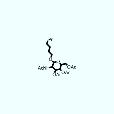 CC(=O)NC1C(OCCCCC(C)C)OC(COC(C)=O)C(OC(C)=O)C1OC(C)=O